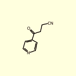 N#CCCC(=O)c1ccncc1